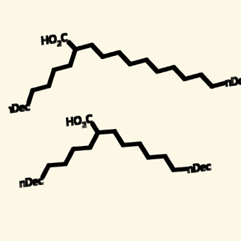 CCCCCCCCCCCCCCCCC(CCCCCCCCCCCCCC)C(=O)O.CCCCCCCCCCCCCCCCCCCCC(CCCCCCCCCCCCCC)C(=O)O